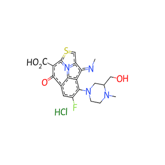 CN=c1c2c(N3CCN(C)C(CO)C3)c(F)cc3c(=O)c(C(=O)O)c4scc1n4c32.Cl